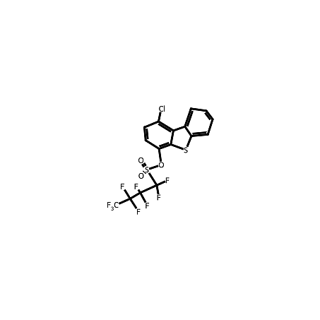 O=S(=O)(Oc1ccc(Cl)c2c1sc1ccccc12)C(F)(F)C(F)(F)C(F)(F)C(F)(F)F